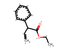 C=CC(C(=O)OCC)c1ccccc1